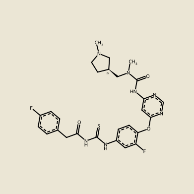 CN1CC[C@H](CN(C)C(=O)Nc2cc(Oc3ccc(NC(=S)NC(=O)Cc4ccc(F)cc4)cc3F)ncn2)C1